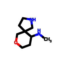 CNC1CCOCC12CCNC2